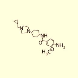 COc1cc(C(=O)NC2CCC(N3CCN(CC4CC4)CC3)CC2)ccc1N